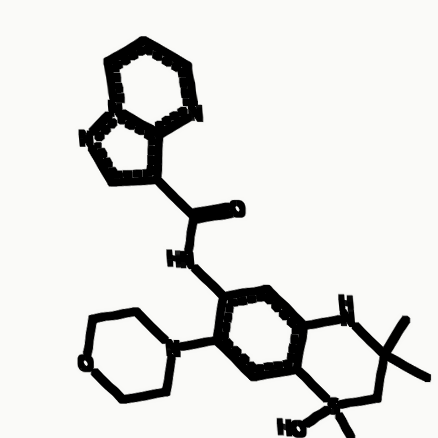 CC1(C)CS(O)(O)c2cc(N3CCOCC3)c(NC(=O)c3cnn4cccnc34)cc2N1